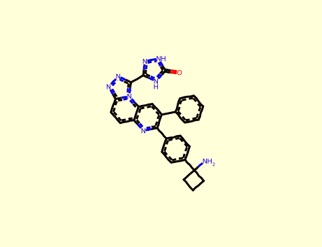 NC1(c2ccc(-c3nc4ccc5nnc(-c6n[nH]c(=O)[nH]6)n5c4cc3-c3ccccc3)cc2)CCC1